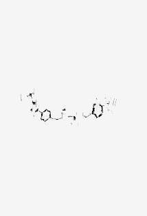 NS(=O)(=O)c1ccc(COC(=O)N(F)Cc2ccc(-c3noc(C(F)(F)F)n3)cc2)cn1